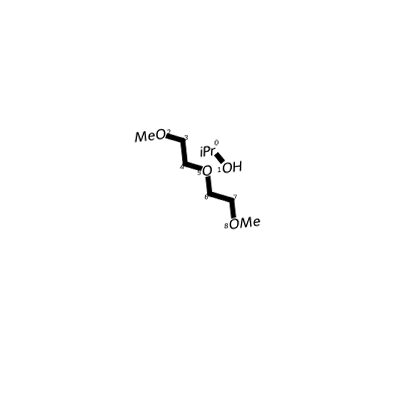 CC(C)O.COCCOCCOC